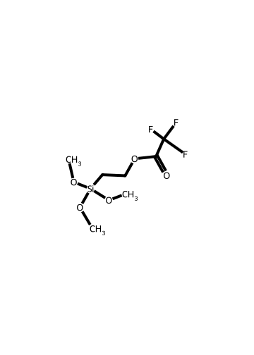 CO[Si](CCOC(=O)C(F)(F)F)(OC)OC